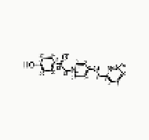 Cc1cccc(COc2cc[n+](CC(=O)c3ccc(O)cc3)cc2)n1